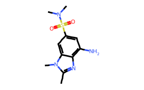 Cc1nc2c(N)cc(S(=O)(=O)N(C)C)cc2n1C